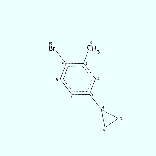 Cc1cc(C2CC2)ccc1Br